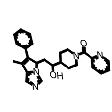 CC1=C(c2ccccc2)C(CC(O)C2CCN(C(=O)c3ccccn3)CC2)n2cncc21